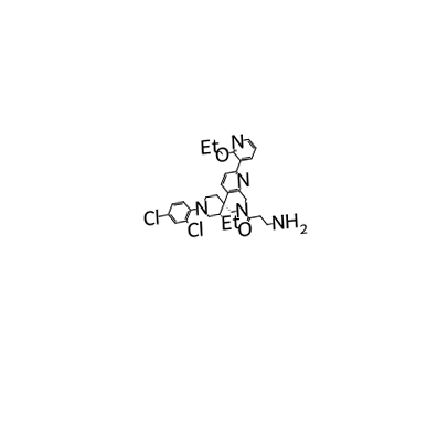 CCOc1ncccc1-c1ccc2c(n1)CN(C(=O)CCN)C[C@]21CCN(c2ccc(Cl)cc2Cl)C[C@H]1CC